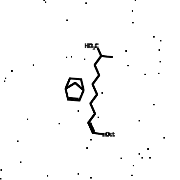 C1=CC2CCC1C2.CCCCCCCC/C=C\CCCCCCC(C)C(=O)O